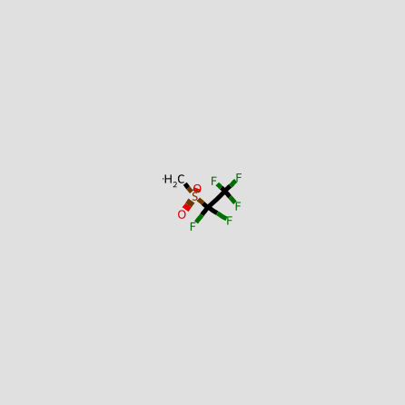 [CH2]S(=O)(=O)C(F)(F)C(F)(F)F